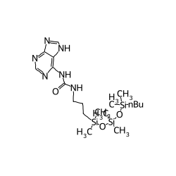 CCCC[Si](C)(C)O[Si](C)(C)O[Si](C)(C)CCCNC(=O)Nc1ncnc2nc[nH]c12